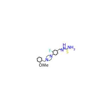 COc1ccccc1CN1CCN(c2ccc(C=NNC(N)=S)cc2F)CC1